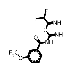 N=C(NC(=O)c1cccc(OC(F)(F)F)c1)OC(=N)C(F)F